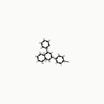 Cc1ccc(-c2cc(-c3ccccc3)c3ccccc3c2)cc1